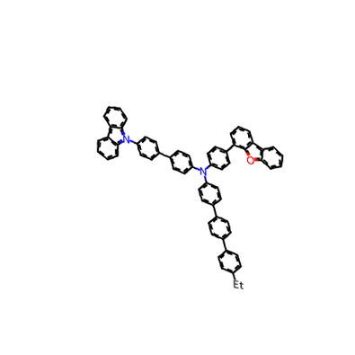 CCc1ccc(-c2ccc(-c3ccc(N(c4ccc(-c5ccc(-n6c7ccccc7c7ccccc76)cc5)cc4)c4ccc(-c5cccc6c5oc5ccccc56)cc4)cc3)cc2)cc1